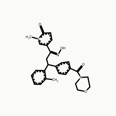 Cc1ccccc1C(CC(=NO)c1ccc(=O)n(C)c1)c1ccc(C(=O)N2CCOCC2)cc1